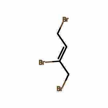 BrC/C=C(\Br)CBr